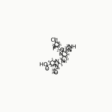 O=C(O)c1ccc2nc(CN3CCc4cc(-c5cc[nH]n5)c(OCc5ccc(Cl)cc5F)nc4C3)n(C[C@@H]3CCO3)c2c1